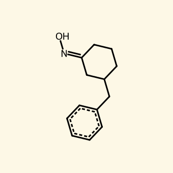 O/N=C1\CCCC(Cc2ccccc2)C1